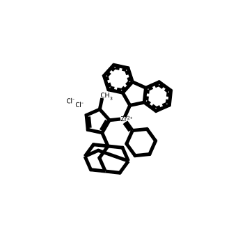 CC1C=CC(C23CC4CC(CC(C4)C2)C3)=[C]1[Zr+2](=[C]1CCCCC1)[CH]1c2ccccc2-c2ccccc21.[Cl-].[Cl-]